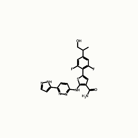 CC(CO)c1cc(F)c(-c2cc(C(N)=O)c(Nc3ccc(-c4ccn[nH]4)nn3)s2)c(F)c1